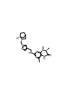 Cc1nc(NCc2cnn(C[C@@H]3CC4CC[C@H]3C4)c2)nc2c1NC(=O)[C@H](C)N2C